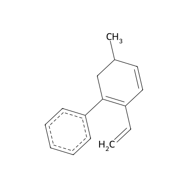 C=CC1=C(c2ccccc2)CC(C)C=C1